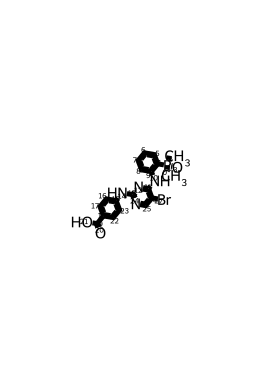 CP(C)(=O)c1ccccc1Nc1nc(Nc2ccc(C(=O)O)cc2)ncc1Br